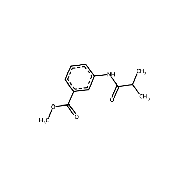 COC(=O)c1cccc(NC(=O)C(C)C)c1